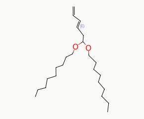 C=C/C=C/CC(OCCCCCCCCC)OCCCCCCCCC